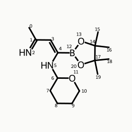 CC(=N)/C=C(\NC1CCCCO1)B1OC(C)(C)C(C)(C)O1